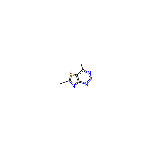 Cc1nc2ncnc(C)c2s1